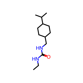 CCNC(=O)NCC1CCC(C(C)C)CC1